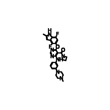 Cc1cc2c(F)c(Oc3ncnc(Nc4cccc(N5CCN(C)CC5)c4)c3C(=O)N3CCC3)cc(F)c2[nH]1